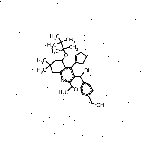 CC(C)c1nc2c(c(C3=CCCC3)c1[C@@H](O)c1ccc(CO)cc1)C(O[Si](C)(C)C(C)(C)C)CC(C)(C)C2